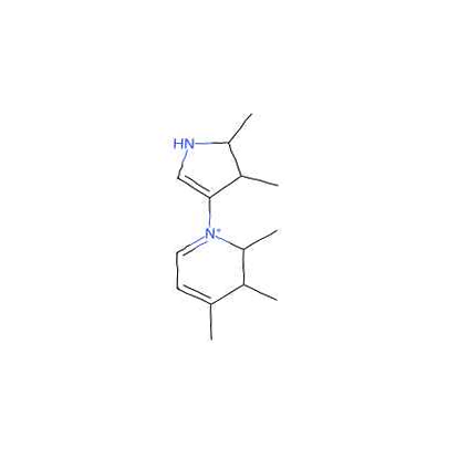 CC1=CC=[N+](C2=CNC(C)C2C)C(C)C1C